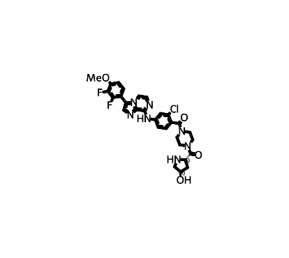 COc1ccc(-c2cnc3c(Nc4ccc(C(=O)N5CCN(C(=O)[C@@H]6C[C@@H](O)CN6)CC5)c(Cl)c4)nccn23)c(F)c1F